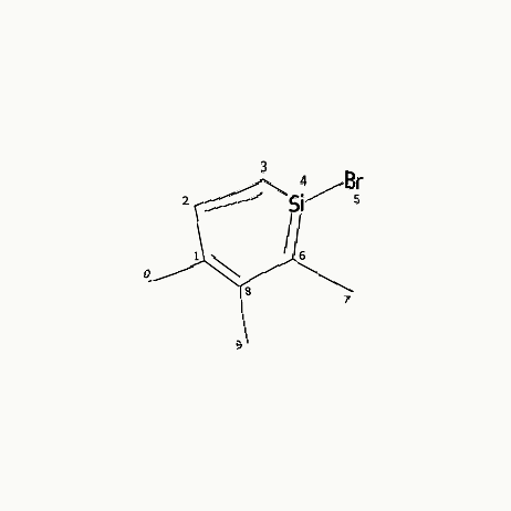 Cc1cc[si](Br)c(C)c1C